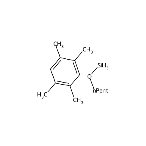 CCCCCO[SiH3].Cc1cc(C)c(C)cc1C